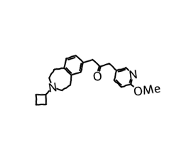 COc1ccc(CC(=O)Cc2ccc3c(c2)CCN(C2CCC2)CC3)cn1